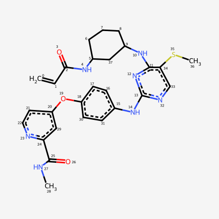 C=CC(=O)NC1CCCC(Nc2nc(Nc3ccc(Oc4ccnc(C(=O)NC)c4)cc3)ncc2SC)C1